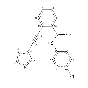 FN(Sc1ccc(Cl)cc1)c1ccccc1C#Cc1cccs1